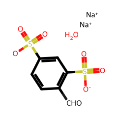 O.O=Cc1ccc(S(=O)(=O)[O-])cc1S(=O)(=O)[O-].[Na+].[Na+]